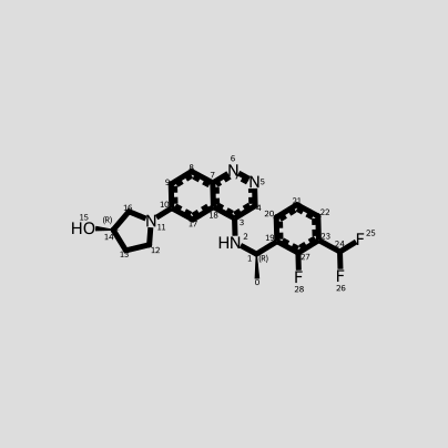 C[C@@H](Nc1cnnc2ccc(N3CC[C@@H](O)C3)cc12)c1cccc(C(F)F)c1F